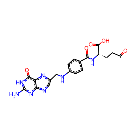 Nc1nc2ncc(CNc3ccc(C(=O)N[C@@H](CC[C]=O)C(=O)O)cc3)nc2c(=O)[nH]1